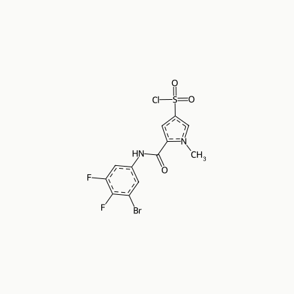 Cn1cc(S(=O)(=O)Cl)cc1C(=O)Nc1cc(F)c(F)c(Br)c1